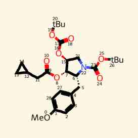 COc1ccc(C[C@@H]2[C@H](OC(=O)CC3CC3)[C@@H](OC(=O)OC(C)(C)C)CN2C(=O)OC(C)(C)C)cc1